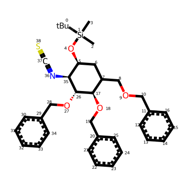 CC(C)(C)[Si](C)(C)O[C@H]1CC(COCc2ccccc2)[C@@H](OCc2ccccc2)[C@H](OCc2ccccc2)[C@H]1N=C=S